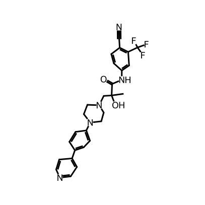 CC(O)(CN1CCN(c2ccc(-c3ccncc3)cc2)CC1)C(=O)Nc1ccc(C#N)c(C(F)(F)F)c1